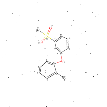 CCc1ccccc1Oc1cccc(S(=O)(=O)C(C)C)c1